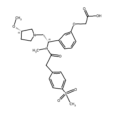 CO[C@H]1CCN(C[C@H](c2cccc(OCC(=O)O)c2)N(C)C(=O)Cc2ccc(S(C)(=O)=O)cc2)C1